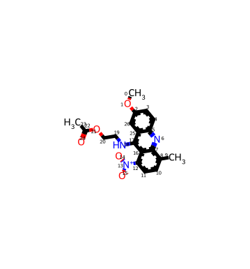 COc1ccc2nc3c(C)ccc([N+](=O)[O-])c3c(NCCOC(C)=O)c2c1